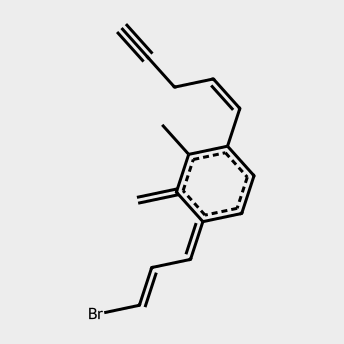 C#CC/C=C\c1cc/c(=C/C=C/Br)c(=C)c1C